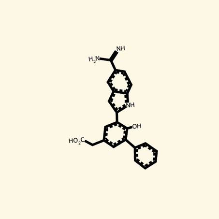 N=C(N)c1ccc2[nH]c(-c3cc(CC(=O)O)cc(-c4ccccc4)c3O)cc2c1